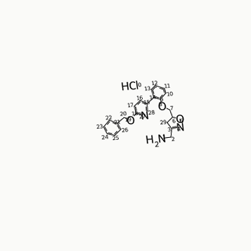 Cl.NCC1=NOC(COc2ccccc2-c2ccc(OCc3ccccc3)nc2)C1